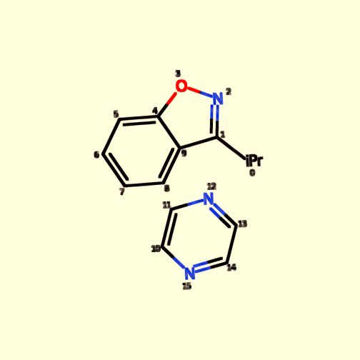 CC(C)c1noc2ccccc12.c1cnccn1